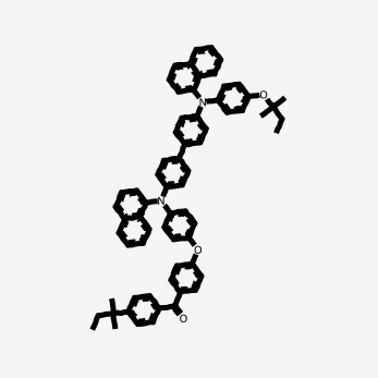 CCC(C)(C)Oc1ccc(N(c2ccc(-c3ccc(N(c4ccc(Oc5ccc(C(=O)c6ccc(C(C)(C)CC)cc6)cc5)cc4)c4cccc5ccccc45)cc3)cc2)c2cccc3ccccc23)cc1